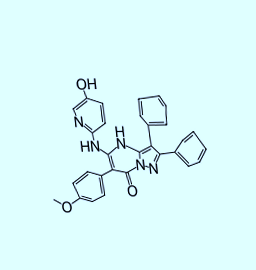 COc1ccc(-c2c(Nc3ccc(O)cn3)[nH]c3c(-c4ccccc4)c(-c4ccccc4)nn3c2=O)cc1